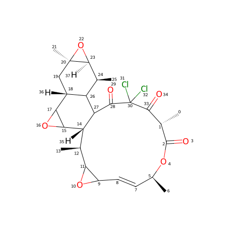 C[C@@H]1C(=O)O[C@@H](C)/C=C/C2OC2[C@@H](C)[C@@H]2C3OC3[C@@H]3C[C@@]4(C)O[C@H]4[C@@H](C)C3C2C(=O)C(Cl)(Cl)C1=O